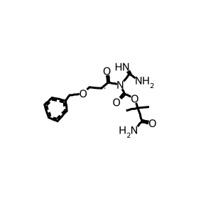 CC(C)(OC(=O)N(C(=N)N)C(=O)[CH]COCc1ccccc1)C(N)=O